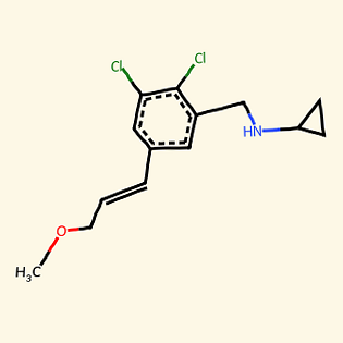 COCC=Cc1cc(Cl)c(Cl)c(CNC2CC2)c1